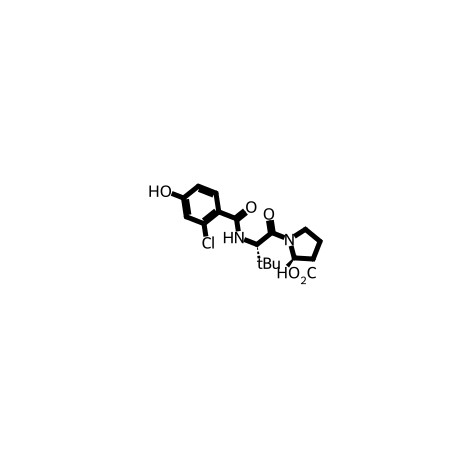 CC(C)(C)[C@H](NC(=O)c1ccc(O)cc1Cl)C(=O)N1CCC[C@H]1C(=O)O